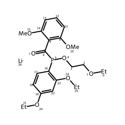 CCOCCOP(C(=O)c1c(OC)cccc1OC)c1ccc(OCC)cc1OCC.[Li]